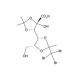 CC1(C)O[C@@H]([C@@H]2OC(C)(C(Br)(Br)Br)O[C@@H]2CO)[C@](O)(C(=O)O)O1